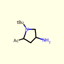 CC(=O)C1CC(N)CN1C(C)(C)C